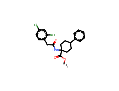 COC(=O)C1(NC(=O)Cc2ccc(Cl)cc2Cl)CCC(c2ccccc2)CC1